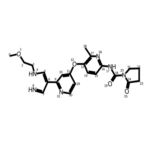 COCCN/C=C(\C=N)c1cc(Oc2ccc(NC(=O)N3CCCC3=O)nc2C)ccn1